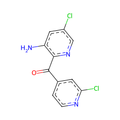 Nc1cc(Cl)cnc1C(=O)c1ccnc(Cl)c1